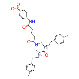 Cc1ccc(C/C=C2\CN(C(=O)CCCC(=O)NC3=CCC(=S(=O)=O)C=C3)C/C(=C\Cc3ccc(C)cc3)C2=O)cc1